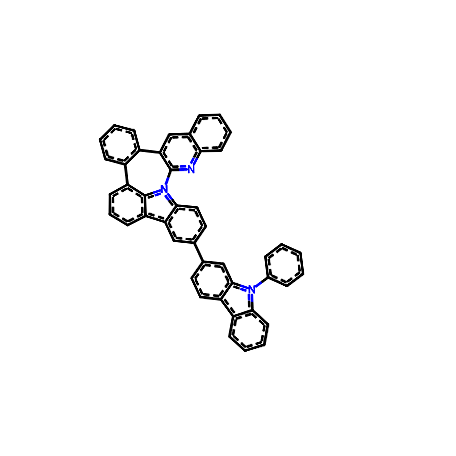 c1ccc(-n2c3ccccc3c3ccc(-c4ccc5c(c4)c4cccc6c4n5-c4nc5ccccc5cc4-c4ccccc4-6)cc32)cc1